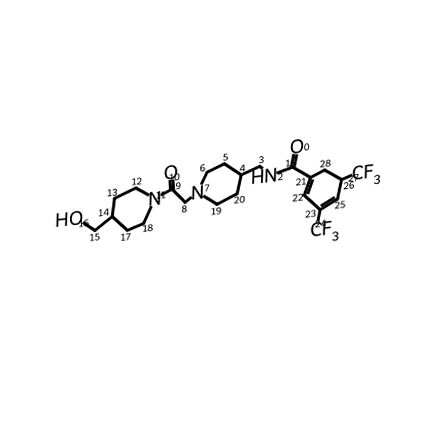 O=C(NCC1CCN(CC(=O)N2CCC(CO)CC2)CC1)C1=CC(C(F)(F)F)=CC(C(F)(F)F)C1